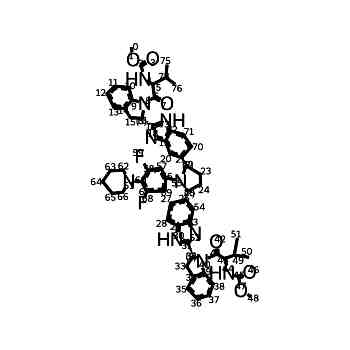 COC(=O)NC(C(=O)N1c2ccccc2C[C@H]1c1nc2cc([C@H]3CC[C@H](c4ccc5[nH]c([C@@H]6Cc7ccccc7N6C(=O)C(NC(=O)OC)C(C)C)nc5c4)N3c3cc(F)c(N4CCCCC4)c(F)c3)ccc2[nH]1)C(C)C